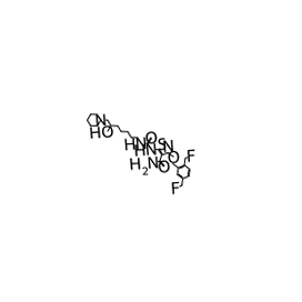 NC(=O)c1c(OCc2cc(CF)ccc2CF)nsc1NC(=O)NCCCCCC(O)CN1CCCCC1